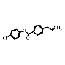 C=CCc1ccc(C(=O)Oc2ccc(Cl)cc2)cc1